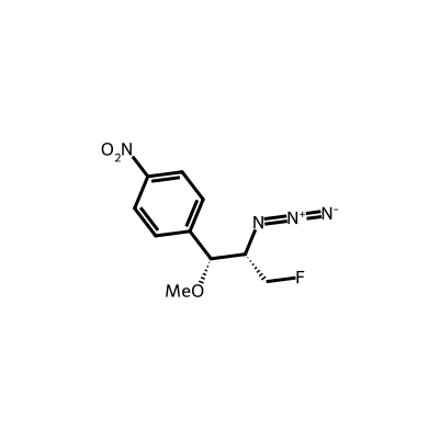 CO[C@H](c1ccc([N+](=O)[O-])cc1)[C@@H](CF)N=[N+]=[N-]